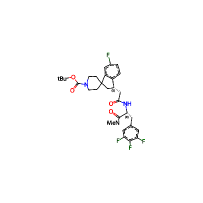 CNC(=O)[C@@H](Cc1cc(F)c(F)c(F)c1)NC(=O)C[C@@H]1CC2(CCN(C(=O)OC(C)(C)C)CC2)c2cc(F)ccc21